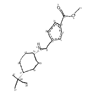 COC(=O)c1ccc(CN[C@H]2CC[C@@H](C(C)(C)C)CC2)cc1